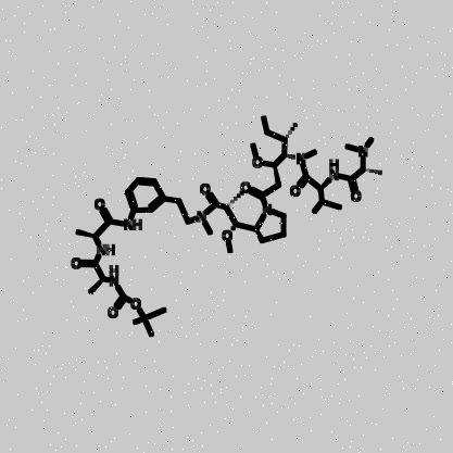 CC[C@H](C)[C@@H]([C@@H](CC(=O)N1CCC[C@H]1[C@H](OC)[C@@H](C)C(=O)N(C)CCc1cccc(NC(=O)[C@H](C)NC(=O)[C@H](C)NC(=O)OC(C)(C)C)c1)OC)N(C)C(=O)[C@@H](NC(=O)[C@@H](C)N(C)C)C(C)C